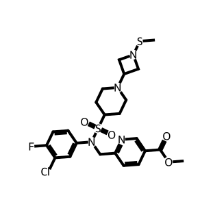 COC(=O)c1ccc(CN(c2ccc(F)c(Cl)c2)S(=O)(=O)C2CCN(C3CN(SC)C3)CC2)nc1